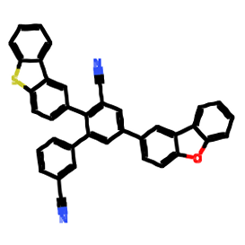 N#Cc1cccc(-c2cc(-c3ccc4oc5ccccc5c4c3)cc(C#N)c2-c2ccc3sc4ccccc4c3c2)c1